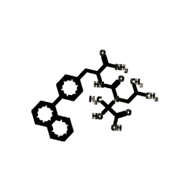 CC(C)CN(C(=O)NC(Cc1ccc(-c2cccc3ccccc23)cc1)C(N)=O)C(C)(O)C(=O)O